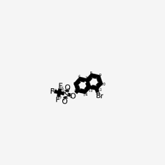 O=S(=O)(Oc1ccc2cccc(Br)c2c1)C(F)(F)F